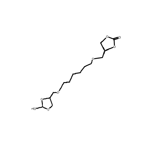 O=C1OCC(COCCCCCCOCC2COC(O)O2)O1